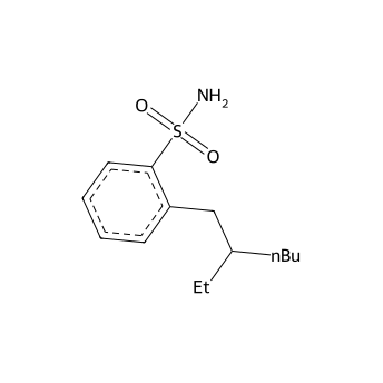 CCCCC(CC)Cc1ccccc1S(N)(=O)=O